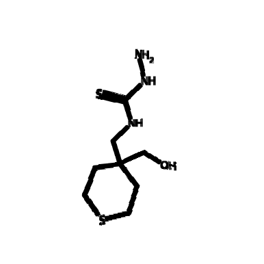 NNC(=S)NCC1(CO)CCSCC1